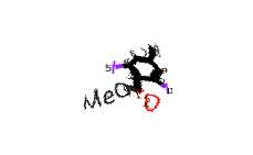 COC(=O)c1c(I)cc(C)cc1I